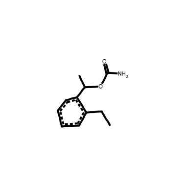 CCc1ccccc1C(C)OC(N)=O